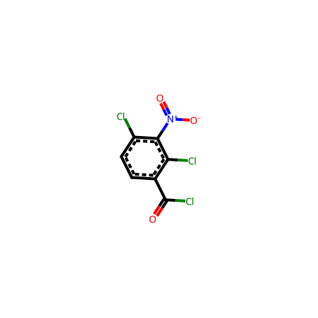 O=C(Cl)c1ccc(Cl)c([N+](=O)[O-])c1Cl